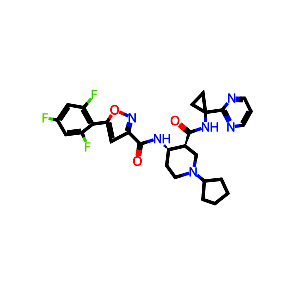 O=C(N[C@H]1CCN(C2CCCC2)C[C@@H]1C(=O)NC1(c2ncccn2)CC1)c1cc(-c2c(F)cc(F)cc2F)on1